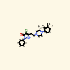 Cc1cccc(N2CCN(CCc3[nH]n(-c4ccccc4)c(=O)c3Cl)CC2)c1C